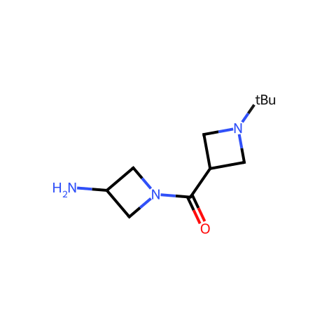 CC(C)(C)N1CC(C(=O)N2CC(N)C2)C1